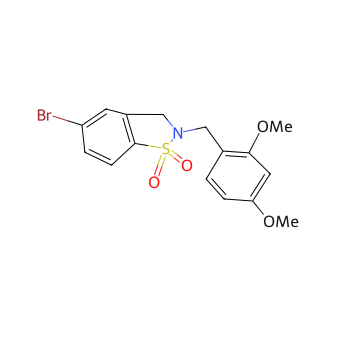 COc1ccc(CN2Cc3cc(Br)ccc3S2(=O)=O)c(OC)c1